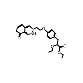 CCOC(=O)C(Cc1ccc(OCCN2C=C3C=CCC(=O)C3=CN2)cc1)OCC